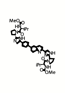 COC(=O)N[C@H](C(=O)N1CCCC1c1nc(-c2ccc3cc(-c4ccc(-c5cnc([C@@H]6CCCN6C(=O)[C@@H](NC(=O)OC)C(C)C)[nH]5)cc4)ccc3n2)c[nH]1)C(C)C